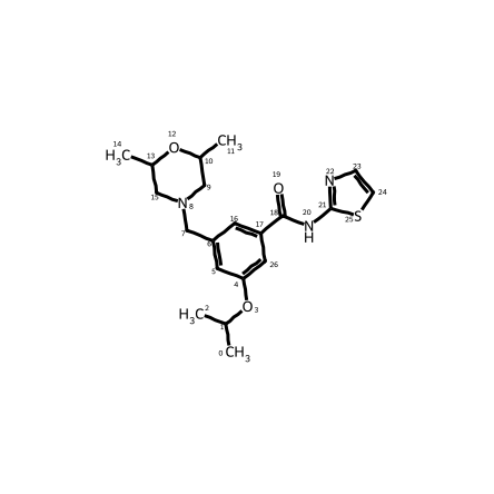 CC(C)Oc1cc(CN2CC(C)OC(C)C2)cc(C(=O)Nc2nccs2)c1